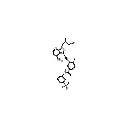 Cc1ccc(C(=O)Nc2cccc(C(F)(F)F)c2)cc1C#Cc1nn(C[C@@H](C)CO)c2ncnc(N)c12